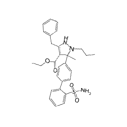 CCCN1NC(Cc2ccccc2)=C(C(=O)OCC)C1(C)c1ccc(-c2ccccc2S(N)(=O)=O)cc1